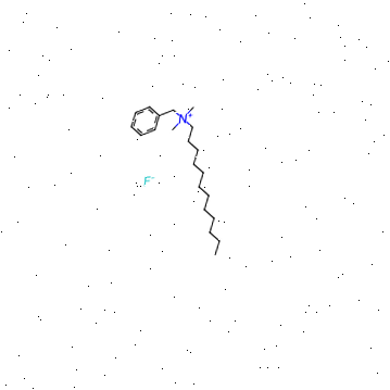 CCCCCCCCCCCC[N+](C)(C)Cc1ccccc1.[F-]